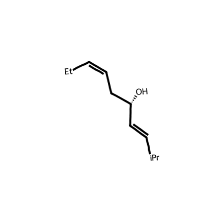 CC/C=C\C[C@H](O)/C=C/C(C)C